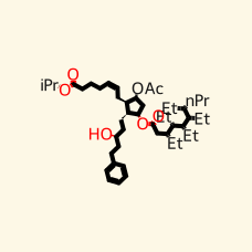 CCCC(CC)C(CC)C(CC)C(CC)C(CC)CC(=O)O[C@@H]1C[C@H](OC(C)=O)[C@H](C/C=C\CCCC(=O)OC(C)C)[C@H]1CC[C@@H](O)CCc1ccccc1